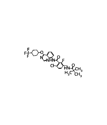 CC(C)(C)C(=O)NCc1ccc(Cl)c(C(=O)Nc2cccc3c(OC4CCC(C(F)(F)F)CC4)ncnc23)c1F